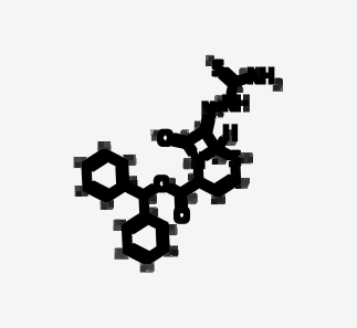 NC(=S)NN=C1C(=O)N2C(C(=O)OC(c3ccccc3)c3ccccc3)C=CS[C@@H]12